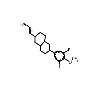 CCC/C=C/C1CCC2CC(c3cc(F)c(OC(F)(F)F)c(F)c3)CCC2C1